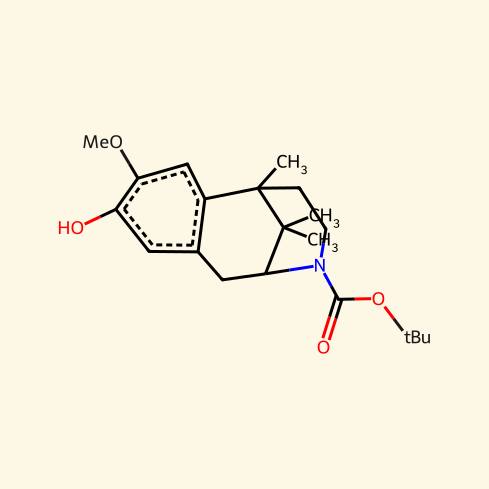 COc1cc2c(cc1O)CC1N(C(=O)OC(C)(C)C)CCC2(C)C1(C)C